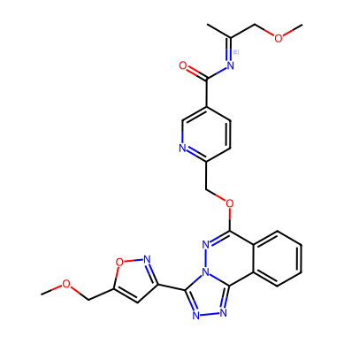 COC/C(C)=N/C(=O)c1ccc(COc2nn3c(-c4cc(COC)on4)nnc3c3ccccc23)nc1